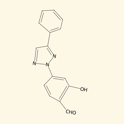 O=Cc1ccc(-n2ncc(-c3ccccc3)n2)cc1O